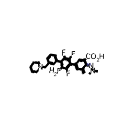 C=C1C=C(c2c(F)c(F)c(-c3cccc(CN4CCCCC4)c3)c(P)c2F)C=C(C(=O)O)/C1=N/N(C)C